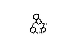 Fc1cccc(Oc2nc(Nc3cc[nH]n3)cc3ccccc23)c1